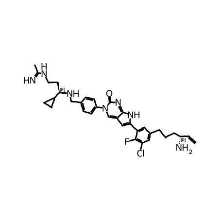 C=C[C@H](N)CCCc1cc(Cl)c(F)c(-c2cc3cn(-c4ccc(CN[C@H](CCNC(C)=N)C5CC5)cc4)c(=O)nc3[nH]2)c1